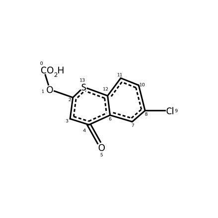 O=C(O)Oc1cc(=O)c2cc(Cl)ccc2s1